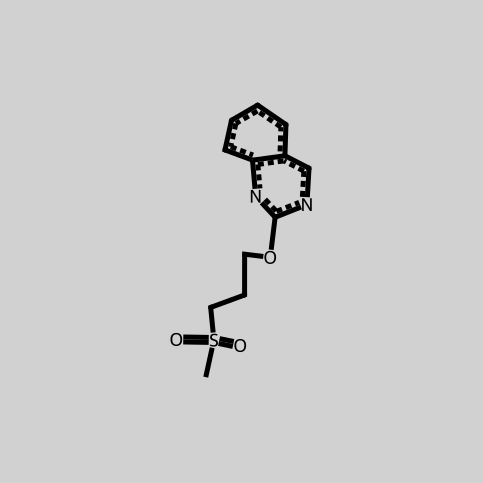 CS(=O)(=O)CCCOc1ncc2ccccc2n1